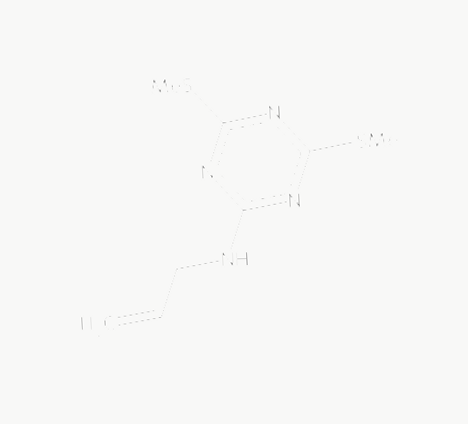 C=CCNc1nc(SC)nc(SC)n1